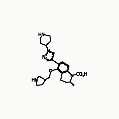 C[C@H]1CCc2c(ccc(-c3cnn(C4CCNCC4)c3)c2OC[C@H]2CCNC2)N1C(=O)O